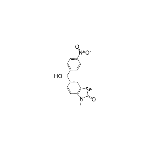 Cn1c(=O)[se]c2cc(C(O)c3ccc([N+](=O)[O-])cc3)ccc21